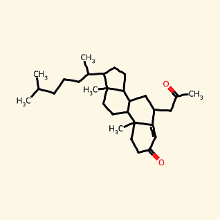 CC(=O)CC1CC2C(CCC3(C)C(C(C)CCCC(C)C)CCC23)C2(C)CCC(=O)C=C12